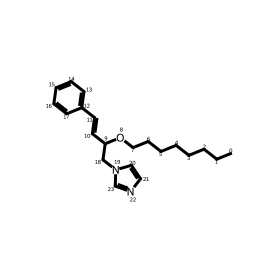 CCCCCCCCOC(C=Cc1ccccc1)Cn1ccnc1